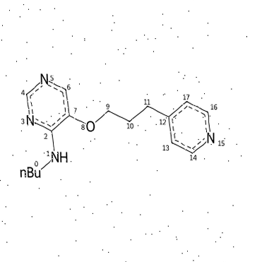 CCCCNc1ncncc1OCCCc1ccncc1